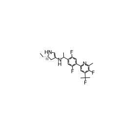 CC[C@H]1CC(NC(C)c2cc(F)c(-c3cc(C(C)(C)F)c(F)c(C)n3)cc2F)=CN1